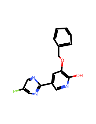 Oc1ncc(-c2ncc(F)cn2)cc1OCc1ccccc1